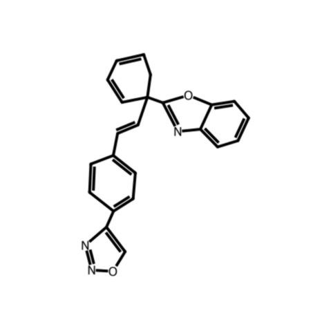 C1=CCC(C=Cc2ccc(-c3conn3)cc2)(c2nc3ccccc3o2)C=C1